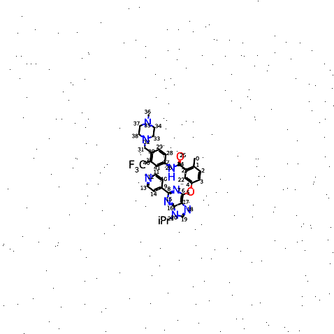 Cc1ccc(Oc2nc(-c3ccncc3)nc3c2ncn3C(C)C)cc1C(=O)Nc1ccc(CN2CCN(C)CC2)c(C(F)(F)F)c1